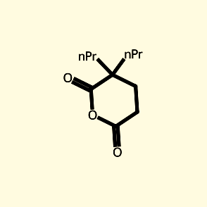 CCCC1(CCC)CCC(=O)OC1=O